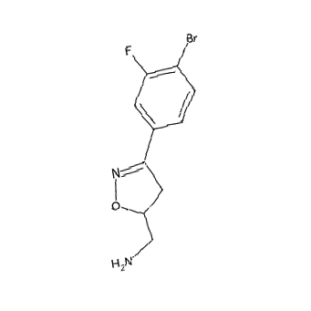 NCC1CC(c2ccc(Br)c(F)c2)=NO1